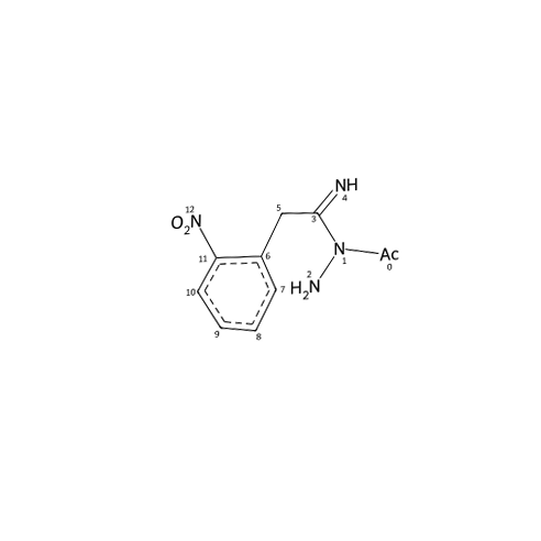 CC(=O)N(N)C(=N)Cc1ccccc1[N+](=O)[O-]